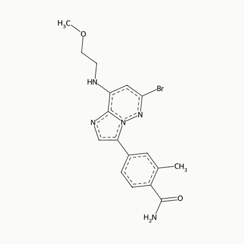 COCCNc1cc(Br)nn2c(-c3ccc(C(N)=O)c(C)c3)cnc12